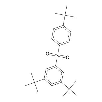 CC(C)(C)c1ccc(S(=O)(=O)c2cc(C(C)(C)C)cc(C(C)(C)C)c2)cc1